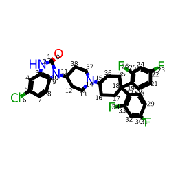 O=c1[nH]c2cc(Cl)ccc2n1C1CCN(C2CCC(c3ccc(F)cc3F)(c3ccc(F)cc3F)CC2)CC1